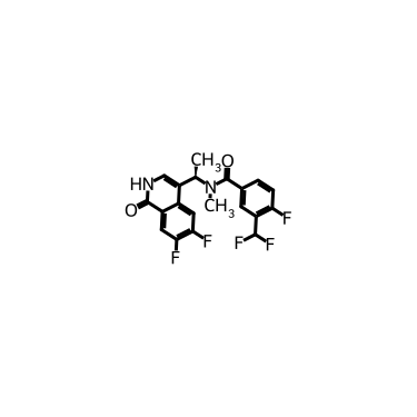 C[C@H](c1c[nH]c(=O)c2cc(F)c(F)cc12)N(C)C(=O)c1ccc(F)c(C(F)F)c1